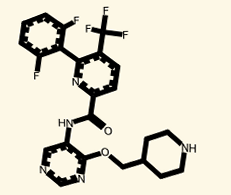 O=C(Nc1cncnc1OCC1CCNCC1)c1ccc(C(F)(F)F)c(-c2c(F)cccc2F)n1